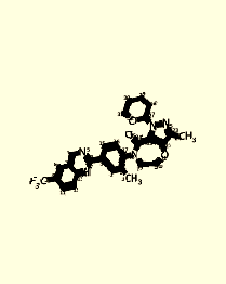 Cc1cc(-c2ncc3cc(C(F)(F)F)ccc3n2)ccc1N1CCOc2c(C)nn(C3CCCCO3)c2C1=O